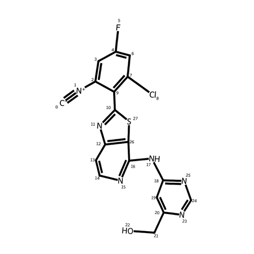 [C-]#[N+]c1cc(F)cc(Cl)c1-c1nc2ccnc(Nc3cc(CO)ncn3)c2s1